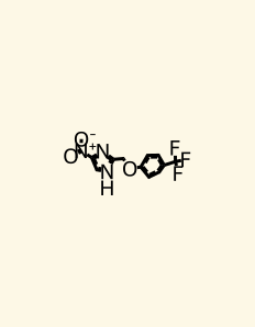 O=[N+]([O-])c1c[nH]c(COc2ccc(C(F)(F)F)cc2)n1